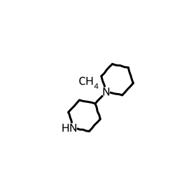 C.C1CCN(C2CCNCC2)CC1